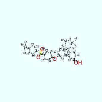 CC1CC(C)(C)CC(c2ccc(O)cc2)(c2ccc(Oc3ccc(S(=O)(=O)c4ccc(C(C)(C)C)cc4)cc3)cc2)C1